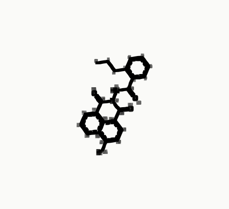 CCCc1ccccc1C(=O)NN1C(=O)c2cccc3c(Br)ccc(c23)C1=O